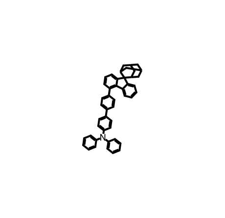 c1ccc(N(c2ccccc2)c2ccc(-c3ccc(-c4cccc5c4-c4ccccc4C54C5CC6CC(C5)CC4C6)cc3)cc2)cc1